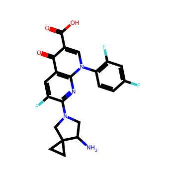 NC1CN(c2nc3c(cc2F)c(=O)c(C(=O)O)cn3-c2ccc(F)cc2F)CC12CC2